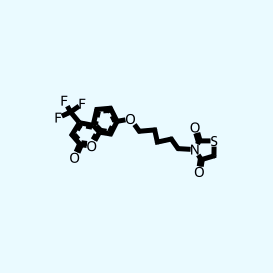 O=C1CSC(=O)N1CCCCCOc1ccc2c(C(F)(F)F)cc(=O)oc2c1